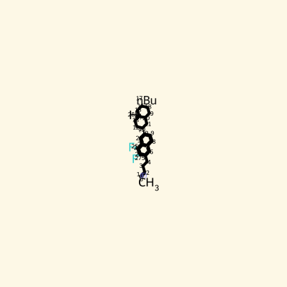 C/C=C/CCc1cc2ccc([C@@H]3CC[C@@H]4CC(CCCC)CCC4C3)cc2c(F)c1F